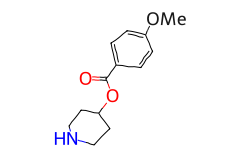 COc1ccc(C(=O)OC2CCNCC2)cc1